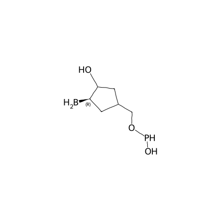 B[C@@H]1CC(COPO)CC1O